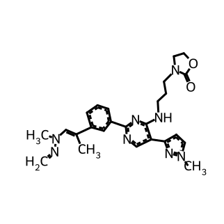 C=NN(C)/C=C(\C)c1cccc(-c2ncc(-c3ccn(C)n3)c(NCCCN3CCOC3=O)n2)c1